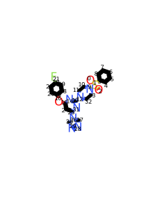 O=S(=O)(c1ccccc1)N1CCN(c2nc(Oc3ccc(F)cc3)cc(-n3cnnc3)n2)CC1